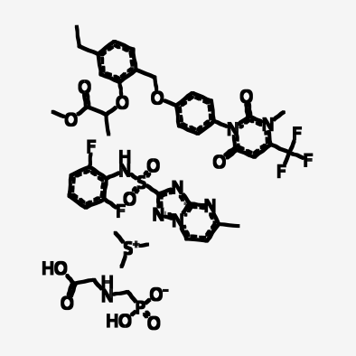 CCc1ccc(COc2ccc(-n3c(=O)cc(C(F)(F)F)n(C)c3=O)cc2)c(OC(C)C(=O)OC)c1.C[S+](C)C.Cc1ccn2nc(S(=O)(=O)Nc3c(F)cccc3F)nc2n1.O=C(O)CNCP(=O)([O-])O